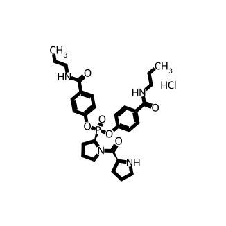 CCCNC(=O)c1ccc(OP(=O)(Oc2ccc(C(=O)NCCC)cc2)[C@@H]2CCCN2C(=O)[C@@H]2CCCN2)cc1.Cl